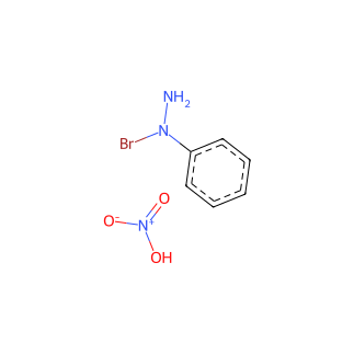 NN(Br)c1ccccc1.O=[N+]([O-])O